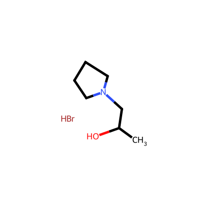 Br.CC(O)CN1CCCC1